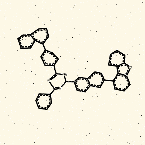 c1ccc(C2=NC(c3ccc4cc(-c5cccc6oc7ccccc7c56)ccc4c3)NC(c3ccc(-c4cccc5ccccc45)cc3)=N2)cc1